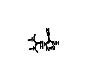 CN(C)C(=N)N(C)C.N#Cc1nnn[nH]1